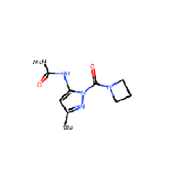 CNC(=O)Nc1cc(C(C)(C)C)nn1C(=O)N1CCC1